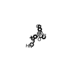 CC1(C)CN(CC2CCNCC2)c2cc(NC(=O)c3cccnc3NCc3ccc4c(c3)CCO4)ccc21